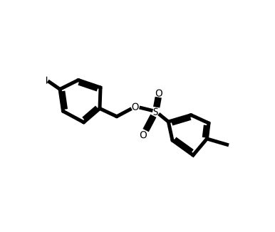 Cc1ccc(S(=O)(=O)OCc2ccc(I)cc2)cc1